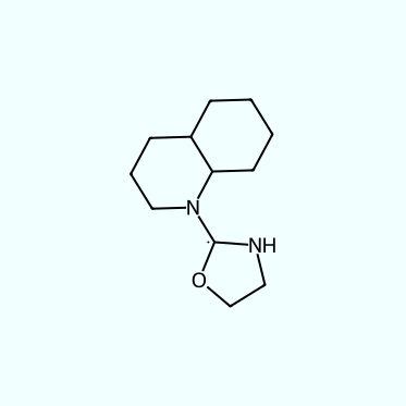 C1CCC2C(C1)CCCN2[C]1NCCO1